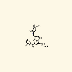 O=C1NC(O)C/C1=C\c1cnn2c(NCC3CC3)cc(Nc3cccc(I)c3)nc12